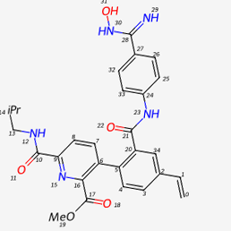 C=Cc1ccc(-c2ccc(C(=O)NCC(C)C)nc2C(=O)OC)c(C(=O)Nc2ccc(C(=N)NO)cc2)c1